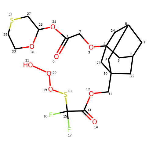 O=C(COC12CC3CC(CC(COC(=O)C(F)(F)SOOO)(C3)C1)C2)OC1CSCCO1